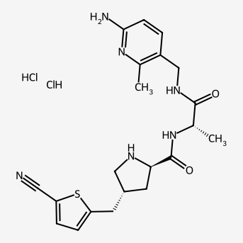 Cc1nc(N)ccc1CNC(=O)[C@H](C)NC(=O)[C@H]1C[C@H](Cc2ccc(C#N)s2)CN1.Cl.Cl